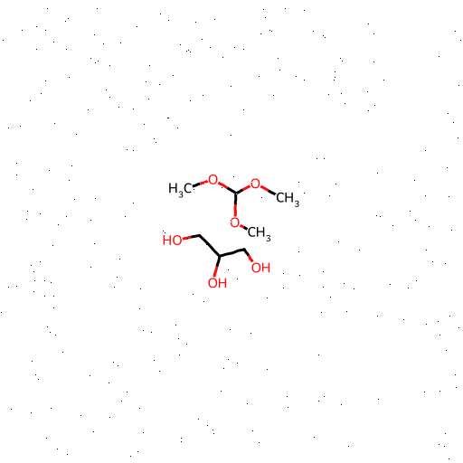 COC(OC)OC.OCC(O)CO